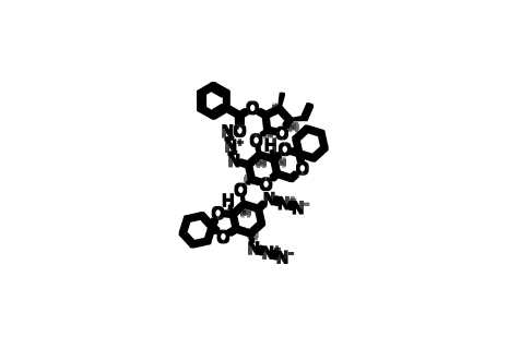 CC[C@H]1O[C@@H](O[C@@H]2C(N=[N+]=[N-])[C@@H](O[C@@H]3C(N=[N+]=[N-])C[C@@H](N=[N+]=[N-])C4OC5(CCCCC5)O[C@H]43)OC3COC4(CCCCC4)O[C@H]32)C(OC(=O)c2ccccc2)[C@H]1C